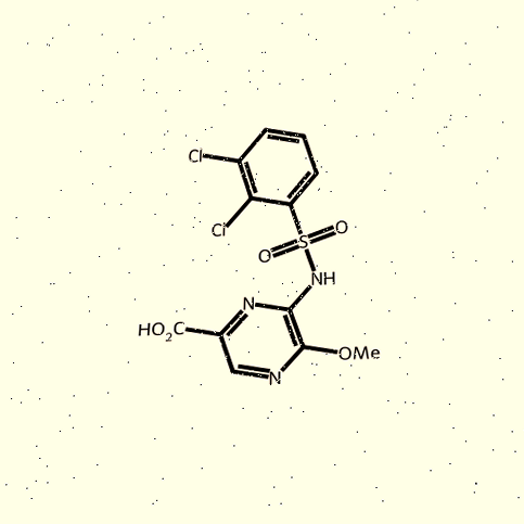 COc1ncc(C(=O)O)nc1NS(=O)(=O)c1cccc(Cl)c1Cl